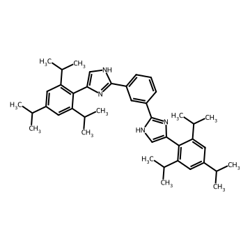 CC(C)c1cc(C(C)C)c(-c2c[nH]c(-c3cccc(-c4nc(-c5c(C(C)C)cc(C(C)C)cc5C(C)C)c[nH]4)c3)n2)c(C(C)C)c1